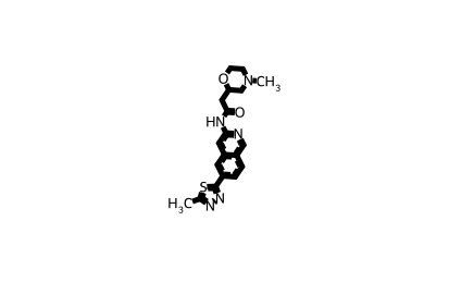 Cc1nnc(-c2ccc3cnc(NC(=O)CC4CN(C)CCO4)cc3c2)s1